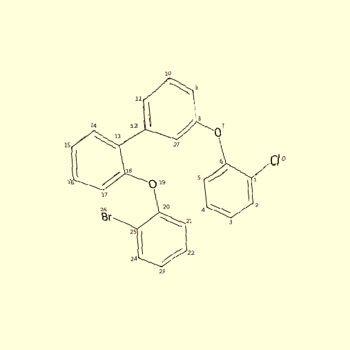 Clc1ccccc1Oc1cccc(-c2cc[c]cc2Oc2ccccc2Br)c1